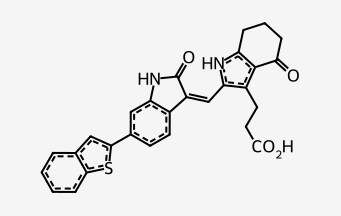 O=C(O)CCc1c(/C=C2\C(=O)Nc3cc(-c4cc5ccccc5s4)ccc32)[nH]c2c1C(=O)CCC2